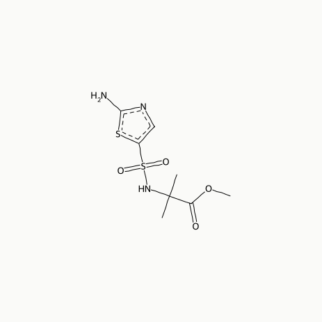 COC(=O)C(C)(C)NS(=O)(=O)c1cnc(N)s1